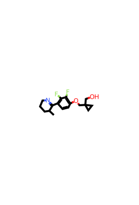 CC1CCCN=C1c1ccc(OCC2(CO)CC2)c(F)c1F